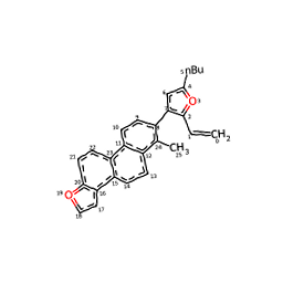 C=Cc1oc(CCCC)cc1-c1ccc2c(ccc3c4ccoc4ccc23)c1C